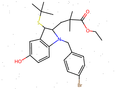 CCOC(=O)C(C)(C)CC1C(SC(C)(C)C)c2cc(O)ccc2N1Cc1ccc(Br)cc1